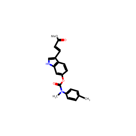 COC(=O)/C=C/c1c[nH]c2cc(OC(=O)N(C)c3ccc(C)cc3)ccc12